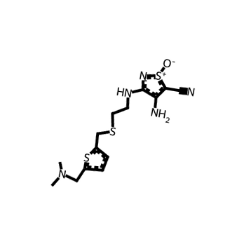 CN(C)Cc1ccc(CSCCNc2n[s+]([O-])c(C#N)c2N)s1